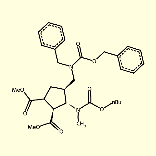 CCCCOC(=O)N(C)[C@H]1[C@H](CN(Cc2ccccc2)C(=O)OCc2ccccc2)CC(C(=O)OC)[C@@H]1C(=O)OC